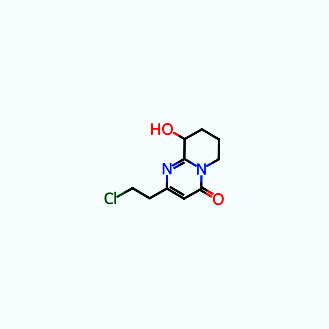 O=c1cc(CCCl)nc2n1CCCC2O